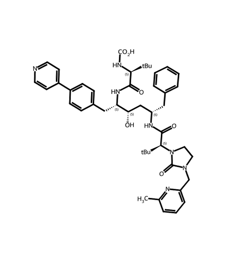 Cc1cccc(CN2CCN([C@H](C(=O)N[C@@H](Cc3ccccc3)C[C@H](O)[C@H](Cc3ccc(-c4ccncc4)cc3)NC(=O)[C@@H](NC(=O)O)C(C)(C)C)C(C)(C)C)C2=O)n1